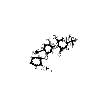 Cc1ccccc1Oc1cc(-n2c(=O)cc(C(F)(F)F)[nH]c2=O)c(I)cc1C#N